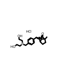 CC12CCC(C(=Cc3ccc(CN(CCO)CCO)cc3)C1=O)C2(C)C.Cl